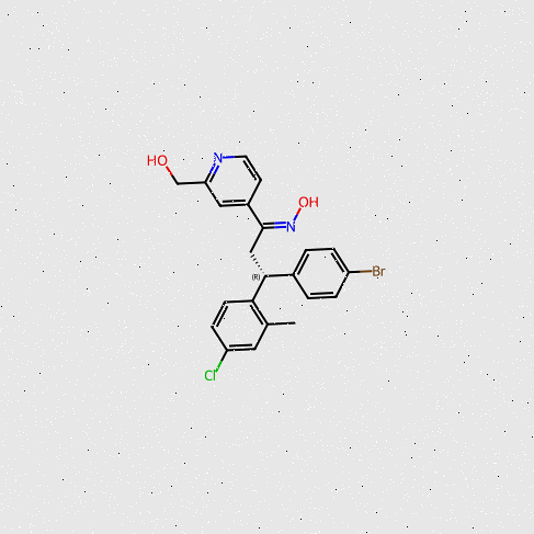 Cc1cc(Cl)ccc1[C@H](CC(=NO)c1ccnc(CO)c1)c1ccc(Br)cc1